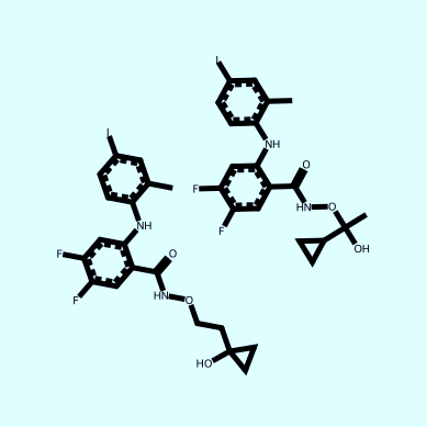 Cc1cc(I)ccc1Nc1cc(F)c(F)cc1C(=O)NOC(C)(O)C1CC1.Cc1cc(I)ccc1Nc1cc(F)c(F)cc1C(=O)NOCCC1(O)CC1